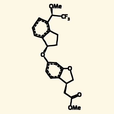 COC(=O)C[C@@H]1COc2cc(O[C@@H]3CCc4c([C@@H](OC)C(F)(F)F)cccc43)ccc21